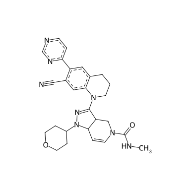 CNC(=O)N1C=CC2C(C1)C(N1CCCc3cc(-c4ccncn4)c(C#N)cc31)=NN2C1CCOCC1